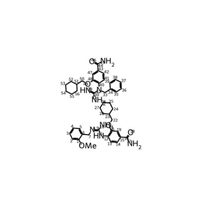 COc1ccccc1CN=C(N)Nc1ccc(C(N)=O)cc1OCC1CCCCC1.N=C(N)N(Cc1ccccc1)c1ccc(C(N)=O)cc1OCC1CCCCC1